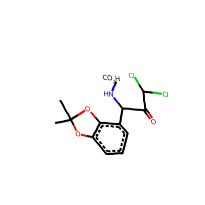 CC1(C)Oc2cccc(C(NC(=O)O)C(=O)C(Cl)Cl)c2O1